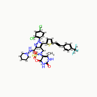 Cc1[nH]c(=O)[nH]c(=O)c1N(Cc1c(C(=O)NN2CCCCC2)nn(-c2ccc(Cl)cc2Cl)c1-c1ccc(C#Cc2ccc(C(F)(F)F)cc2)s1)[SH](=O)=O